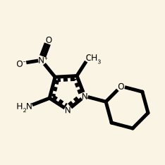 Cc1c([N+](=O)[O-])c(N)nn1C1CCCCO1